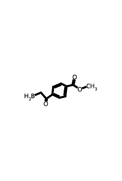 BCC(=O)c1ccc(C(=O)OC)cc1